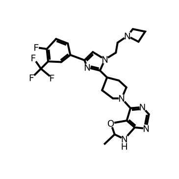 CC1Nc2ncnc(N3CCC(c4nc(-c5ccc(F)c(C(F)(F)F)c5)cn4CCN4CCC4)CC3)c2O1